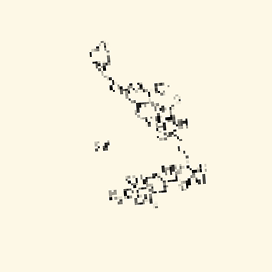 CC(C)(C)c1ccc(C(=O)NC(CCCC(=O)N[C@@H]2C(=O)N3C(C(=O)[O-])=C(C=NOCCN4CCOCC4)CS[C@@H]23)C(=O)O)cc1.[Na+]